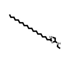 CCCCCCCCCCCCCCCCCCC1=NC(NCC)CN1